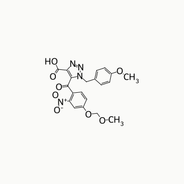 COCOc1ccc(C(=O)c2c(C(=O)O)nnn2Cc2ccc(OC)cc2)c([N+](=O)[O-])c1